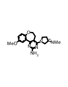 CN[C@@H]1CCN(c2nc(N)nc3c2CCOc2ccc(OC)cc2-3)C1